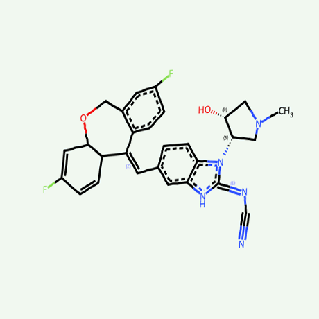 CN1C[C@@H](O)[C@@H](n2/c(=N/C#N)[nH]c3cc(/C=C4\c5ccc(F)cc5COC5C=C(F)C=CC45)ccc32)C1